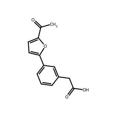 CC(=O)c1ccc(-c2cccc(CC(=O)O)c2)o1